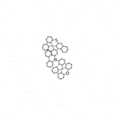 c1ccc(-c2ccccc2N(c2ccc3c(c2)-c2ccccc2C32c3ccccc3Sc3cc4ccccc4cc32)c2cccc3c2-c2ccccc2C32c3ccccc3Oc3ccccc32)cc1